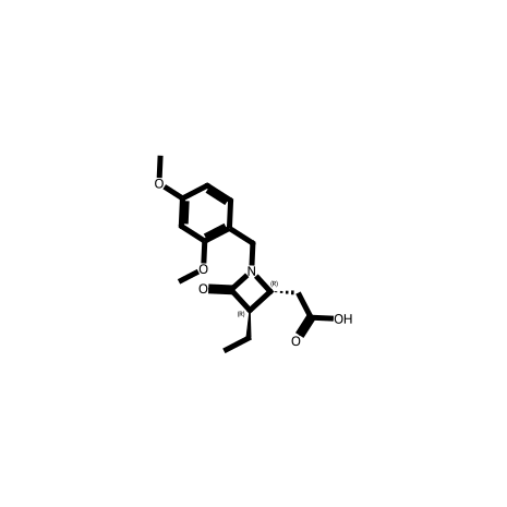 CC[C@H]1C(=O)N(Cc2ccc(OC)cc2OC)[C@@H]1CC(=O)O